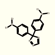 CCN(CC)c1ccc(C2(c3ccc(N(CC)CC)cc3)N=CN=N2)cc1